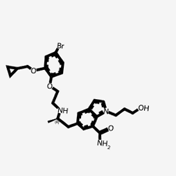 C[C@H](Cc1cc(C(N)=O)c2c(ccn2CCCO)c1)NCCOc1ccc(Br)cc1OCC1CC1